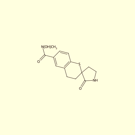 CN(O)C(=O)c1ccc2c(c1)CCC1(CCNC1=O)S2